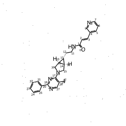 O=C(/C=C/c1cccnc1)NCC[C@@H]1[C@H]2CN(c3nc(-c4ccccc4)ncc3F)C[C@@H]12